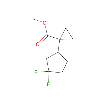 COC(=O)C1(C2CCC(F)(F)C2)CC1